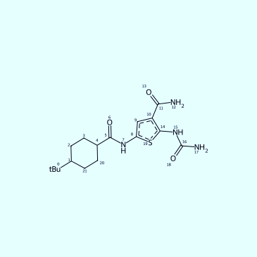 CC(C)(C)C1CCC(C(=O)Nc2cc(C(N)=O)c(NC(N)=O)s2)CC1